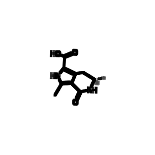 Cc1[nH]c(C(=O)O)c2c1C(=O)N[C@@H](C)C2